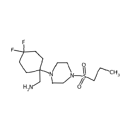 CCCS(=O)(=O)N1CCN(C2(CN)CCC(F)(F)CC2)CC1